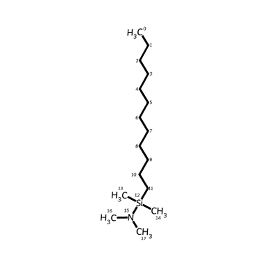 CCCCCCCCCCCC[Si](C)(C)N(C)C